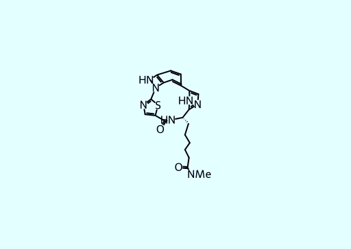 CNC(=O)CCCCC[C@@H]1NC(=O)c2cnc(s2)-n2[nH]c3ccc(cc32)-c2cnc1[nH]2